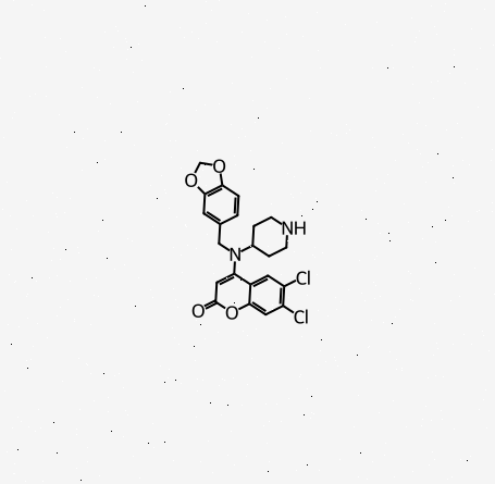 O=c1cc(N(Cc2ccc3c(c2)OCO3)C2CCNCC2)c2cc(Cl)c(Cl)cc2o1